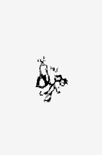 COC(=O)N1CCc2cccc3c(C4=C(c5cncc6ccoc56)C(=O)NC4=O)cn(c23)CC1.Cl